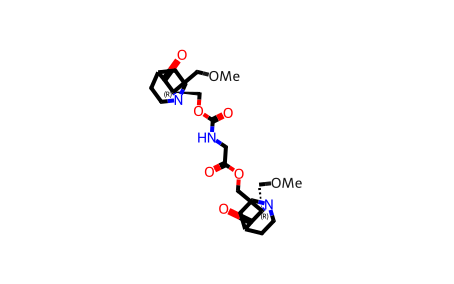 COC[C@@]1(COC(=O)CNC(=O)OC[C@]2(COC)C(=O)C3CCN2CC3)C(=O)C2CCN1CC2